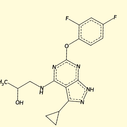 CC(O)CNc1nc(Oc2ccc(F)cc2F)nc2[nH]nc(C3CC3)c12